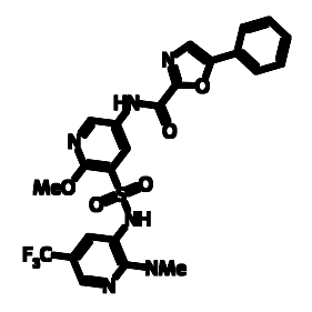 CNc1ncc(C(F)(F)F)cc1NS(=O)(=O)c1cc(NC(=O)c2ncc(-c3ccccc3)o2)cnc1OC